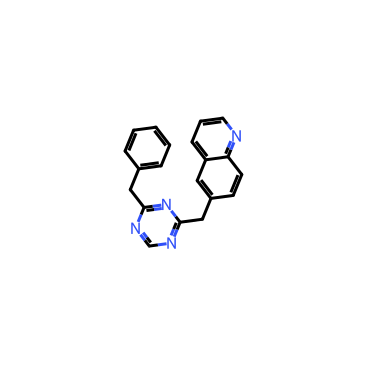 c1ccc(Cc2ncnc(Cc3ccc4ncccc4c3)n2)cc1